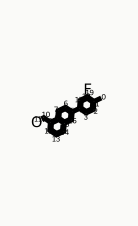 Cc1ccc(-c2ccc3c(C=O)cccc3c2)cc1F